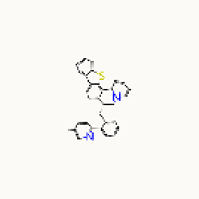 Cc1ccc(-c2ccccc2C[C@H]2CN3C=CC=CC3c3c2ccc2c3sc3ccccc32)nc1